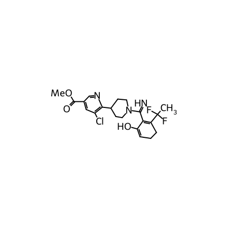 COC(=O)c1cnc(C2CCN(C(=N)C3=C(C(C)(F)F)CCC=C3O)CC2)c(Cl)c1